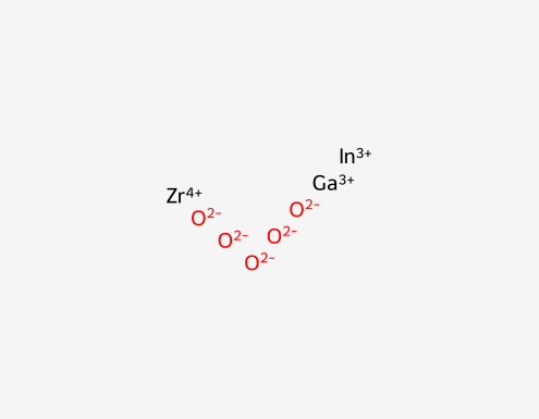 [Ga+3].[In+3].[O-2].[O-2].[O-2].[O-2].[O-2].[Zr+4]